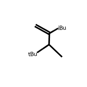 C=C(C(C)CC)C(C)C(C)(C)C